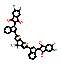 CCC1(CC)c2cc(C3=CC(=C4C(=O)c5cc(F)c(F)cc5C4=O)c4ccccc43)sc2-c2sc(C3=CC(=C4C(=O)c5cc(F)c(F)cc5C4=O)c4ccccc43)cc21